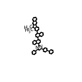 CC1(C)c2cc(-c3ccc(-c4ccc(-c5nc(-c6ccccc6)cc(-c6ccc(-c7ccccc7)cc6)n5)c5ccccc45)c4ccccc34)ccc2-c2cc3ccccc3cc21